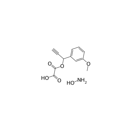 C#CC(OC(=O)C(=O)O)c1cccc(OC)c1.NO